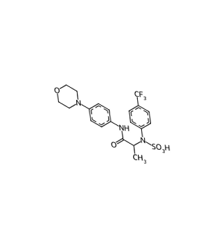 CC(C(=O)Nc1ccc(N2CCOCC2)cc1)N(c1ccc(C(F)(F)F)cc1)S(=O)(=O)O